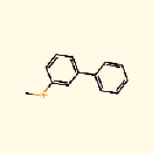 CPc1cccc(-c2ccccc2)c1